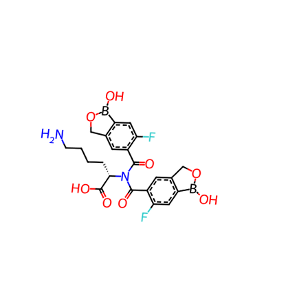 NCCCC[C@@H](C(=O)O)N(C(=O)c1cc2c(cc1F)B(O)OC2)C(=O)c1cc2c(cc1F)B(O)OC2